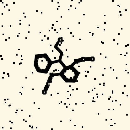 O=C=Nc1cccc(N=C=O)c1C(CCCl)c1ccccc1